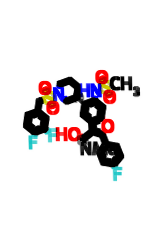 CN[C@H](O)c1c(-c2ccc(F)cc2)oc2cc(NS(C)(=O)=O)c([C@H]3CCCN(S(=O)(=O)Cc4ccc(F)c(F)c4)C3)cc12